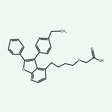 CCc1ccc(-c2c(-c3ccccc3)oc3nccc(CCCCOCC(=O)O)c23)cc1